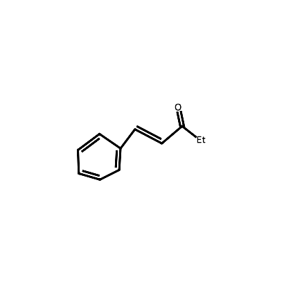 [CH2]CC(=O)C=Cc1ccccc1